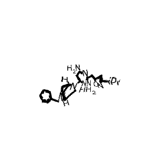 CC(C)c1cc(CC2(N)N=C(N)C=C(N3C[C@H]4C[C@@H]3CN4Cc3ccccc3)N2)on1